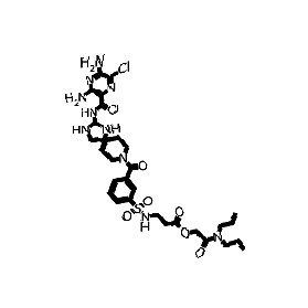 CCCN(CCC)C(=O)COC(=O)CCNS(=O)(=O)c1cccc(C(=O)N2CCC3(CC2)CNC(NC(=O)c2nc(Cl)c(N)nc2N)N3)c1